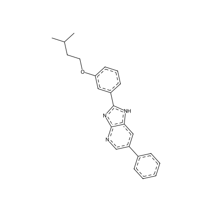 CC(C)CCOc1cccc(-c2nc3ncc(-c4ccccc4)cc3[nH]2)c1